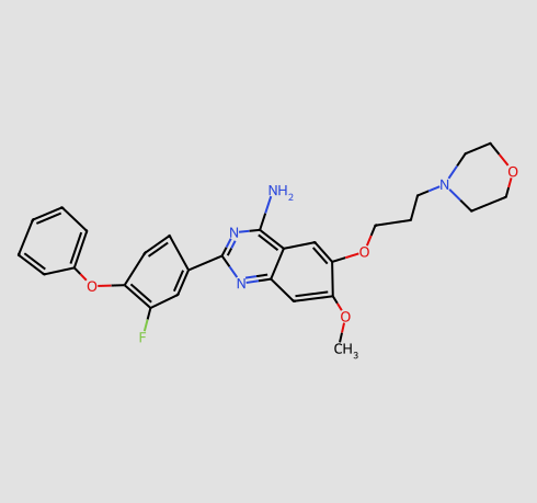 COc1cc2nc(-c3ccc(Oc4ccccc4)c(F)c3)nc(N)c2cc1OCCCN1CCOCC1